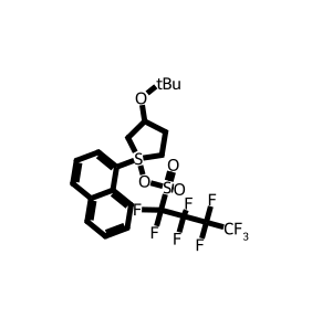 CC(C)(C)OC1CCS(OS(=O)(=O)C(F)(F)C(F)(F)C(F)(F)C(F)(F)F)(c2cccc3ccccc23)C1